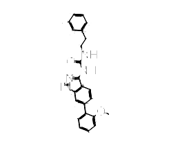 COc1ccccc1-c1ccc2c(NC(=O)NCCc3ccccc3)n[nH]c2c1